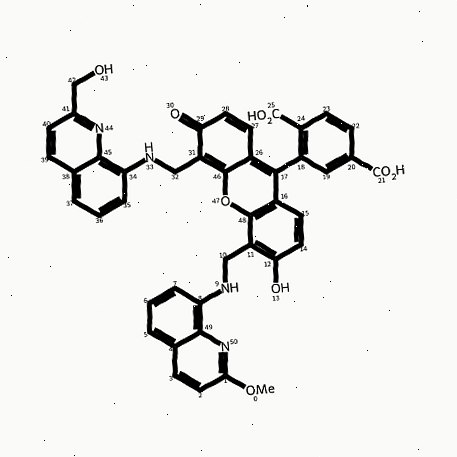 COc1ccc2cccc(NCc3c(O)ccc4c(-c5cc(C(=O)O)ccc5C(=O)O)c5ccc(=O)c(CNc6cccc7ccc(CO)nc67)c-5oc34)c2n1